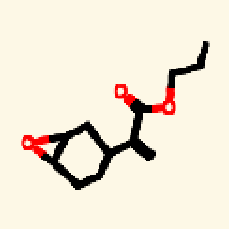 C=C(C(=O)OCCC)C1CCC2OC2C1